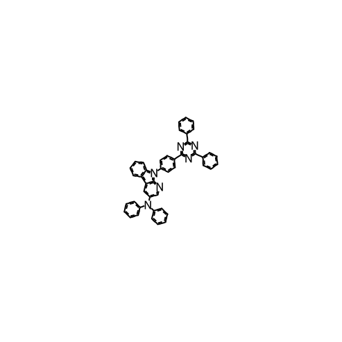 c1ccc(-c2nc(-c3ccccc3)nc(-c3ccc(-n4c5ccccc5c5cc(N(c6ccccc6)c6ccccc6)cnc54)cc3)n2)cc1